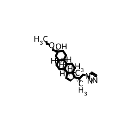 CCOC[C@@]1(O)CC[C@H]2[C@H](CC[C@@H]3[C@@H]2CC[C@]2(C)[C@@H]([C@@H](C)Cn4ccnn4)CC[C@@H]32)C1